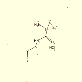 Cl.NC1(C(=O)NCCF)CC1